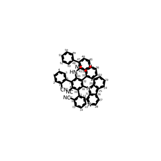 N#Cc1ccccc1-c1c(C#N)c(-c2ccccc2C#N)c(-n2c3ccccc3c3ccncc32)c(-c2ccccc2C#N)c1Nc1cnccc1-c1ccccc1